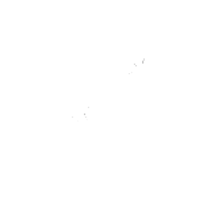 C=CC(=O)OCCCCCCCCOC(=O)C(C)(F)F